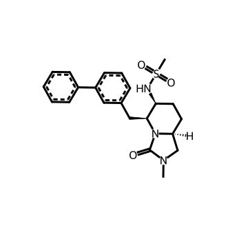 CN1C[C@@H]2CC[C@H](NS(C)(=O)=O)[C@H](Cc3cccc(-c4ccccc4)c3)N2C1=O